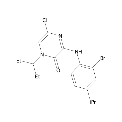 CCC(CC)n1cc(Cl)nc(Nc2ccc(C(C)C)cc2Br)c1=O